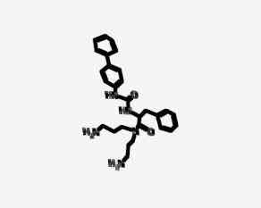 NCCCN(CCCN)C(=O)C(Cc1ccccc1)NC(=O)Nc1ccc(-c2ccccc2)cc1